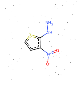 NNc1sccc1[N+](=O)[O-]